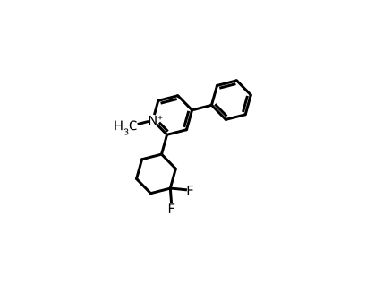 C[n+]1ccc(-c2ccccc2)cc1C1CCCC(F)(F)C1